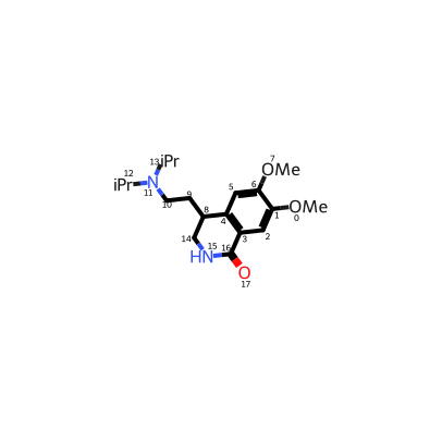 COc1cc2c(cc1OC)C(CCN(C(C)C)C(C)C)CNC2=O